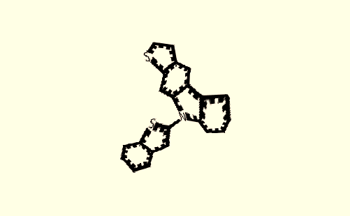 c1ccc2sc(-n3c4ccccc4c4cc5ccsc5cc43)cc2c1